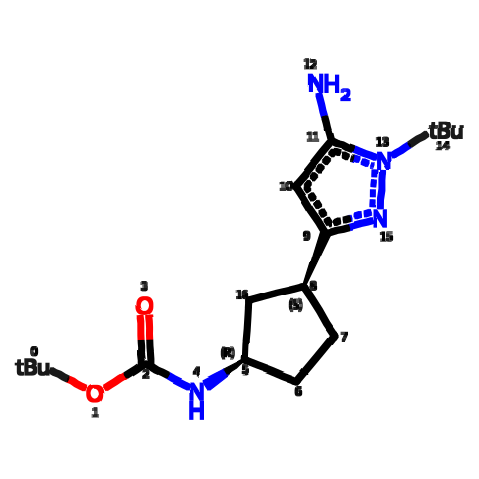 CC(C)(C)OC(=O)N[C@@H]1CC[C@H](c2cc(N)n(C(C)(C)C)n2)C1